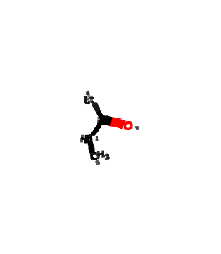 CBC(=O)CC